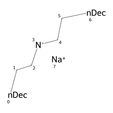 CCCCCCCCCCCC[N-]CCCCCCCCCCCC.[Na+]